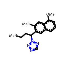 CNCCC(c1cc2cccc(OC)c2cc1OC)n1ncnn1